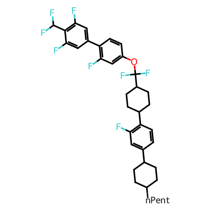 CCCCCC1CCC(c2ccc(C3CCC(C(F)(F)Oc4ccc(-c5cc(F)c(C(F)F)c(F)c5)c(F)c4)CC3)c(F)c2)CC1